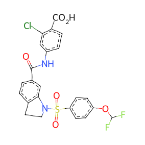 O=C(Nc1ccc(C(=O)O)c(Cl)c1)c1ccc2c(c1)N(S(=O)(=O)c1ccc(OC(F)F)cc1)CC2